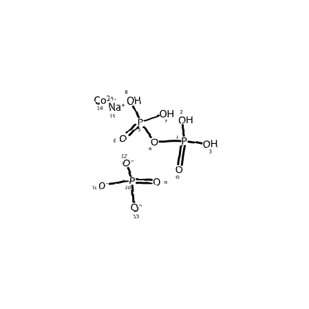 O=P(O)(O)OP(=O)(O)O.O=P([O-])([O-])[O-].[Co+2].[Na+]